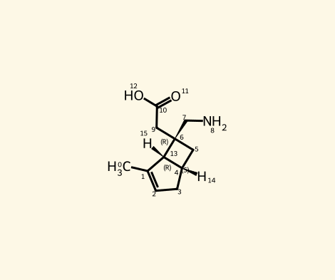 CC1=CC[C@H]2C[C@@](CN)(CC(=O)O)[C@@H]12